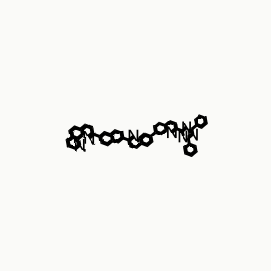 c1ccc(-c2nc(-c3ccccc3)nc(-c3ccc4ccc(-c5ccc6ccc(-c7ccc8cc(-c9ccc%10ccc%11cccnc%11c%10n9)ccc8c7)nc6c5)cc4n3)n2)cc1